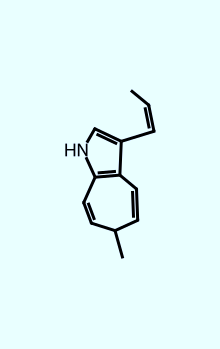 C/C=C\c1c[nH]c2c1C=CC(C)C=C2